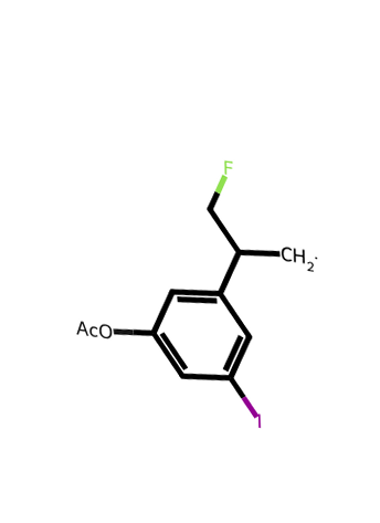 [CH2]C(CF)c1cc(I)cc(OC(C)=O)c1